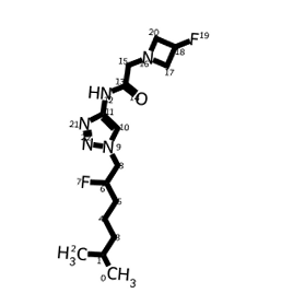 C[C](C)CCCC(F)Cn1cc(NC(=O)CN2CC(F)C2)nn1